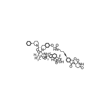 CC(C)(C)[C@H](NC(=O)c1cc2cc(C(F)(F)P(=O)(O)O)ccc2s1)C(=O)N1Cc2cc(OCC(=O)NCCCC#Cc3ccc4c(c3)C(=O)N(C3CCC(=O)NC3=O)C4=O)ccc2C[C@H]1C(=O)N1CCC[C@H](c2ccccc2)C1